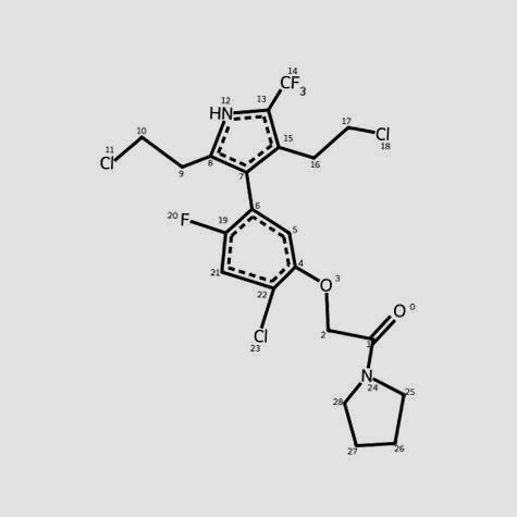 O=C(COc1cc(-c2c(CCCl)[nH]c(C(F)(F)F)c2CCCl)c(F)cc1Cl)N1CCCC1